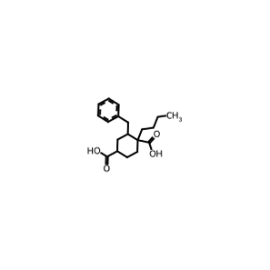 CCCCC1(C(=O)O)CCC(C(=O)O)CC1Cc1ccccc1